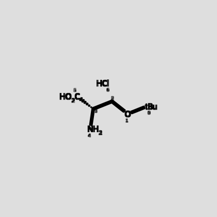 CC(C)(C)OC[C@H](N)C(=O)O.Cl